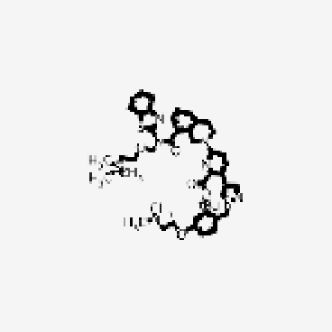 CN(C)CCOc1ccc(Cn2cc(-c3ccc(N4CCc5cccc(C(=O)N(COCC[Si](C)(C)C)c6nc7ccccc7s6)c5C4)nc3C(=O)OC(C)(C)C)cn2)cc1